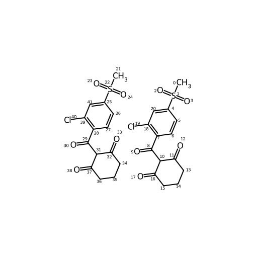 CS(=O)(=O)c1ccc(C(=O)C2C(=O)CCCC2=O)c(Cl)c1.CS(=O)(=O)c1ccc(C(=O)C2C(=O)CCCC2=O)c(Cl)c1